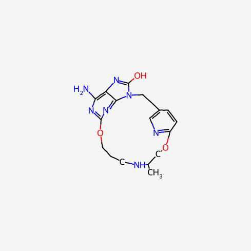 CC1COc2ccc(cn2)Cn2c(O)nc3c(N)nc(nc32)OCCCN1